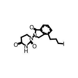 O=C1CCN(N2Cc3c(CCCI)cccc3C2=O)C(=O)N1